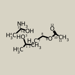 CC(C)O.CCO.CCOC(C)=O.N